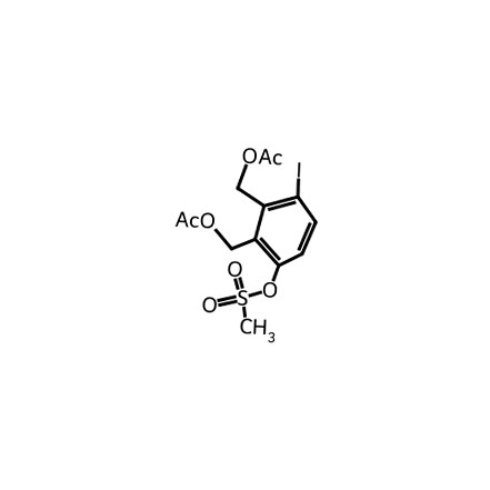 CC(=O)OCc1c(I)ccc(OS(C)(=O)=O)c1COC(C)=O